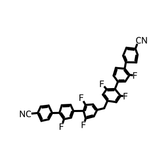 N#Cc1ccc(-c2ccc(-c3c(F)cc(Cc4cc(F)c(-c5ccc(-c6ccc(C#N)cc6)c(F)c5)c(F)c4)cc3F)cc2F)cc1